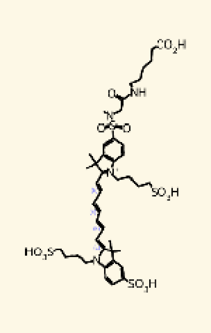 CN(CC(=O)NCCCCCC(=O)O)S(=O)(=O)c1ccc2c(c1)C(C)(C)C(/C=C/C=C/C=C/C=C1/N(CCCCS(=O)(=O)O)c3ccc(S(=O)(=O)O)cc3C1(C)C)=[N+]2CCCCS(=O)(=O)O